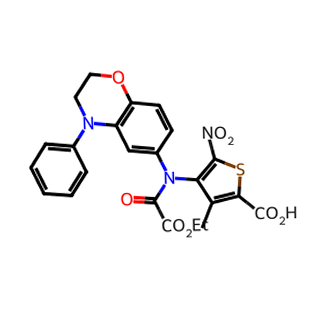 CCOC(=O)C(=O)N(c1ccc2c(c1)N(c1ccccc1)CCO2)c1c([N+](=O)[O-])sc(C(=O)O)c1C